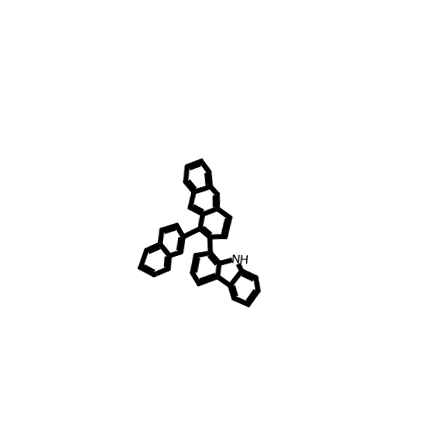 c1ccc2cc(-c3c(-c4cccc5c4[nH]c4ccccc45)ccc4cc5ccccc5cc34)ccc2c1